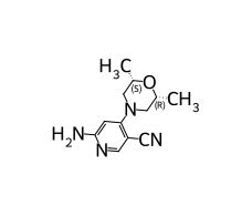 C[C@@H]1CN(c2cc(N)ncc2C#N)C[C@H](C)O1